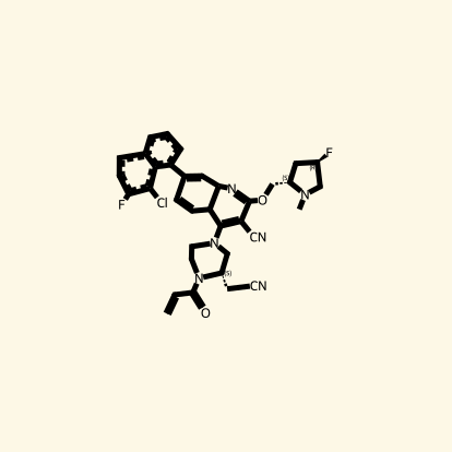 C=CC(=O)N1CCN(C2=C(C#N)C(OC[C@@H]3C[C@@H](F)CN3C)=NC3C=C(c4cccc5ccc(F)c(Cl)c45)C=CC23)C[C@@H]1CC#N